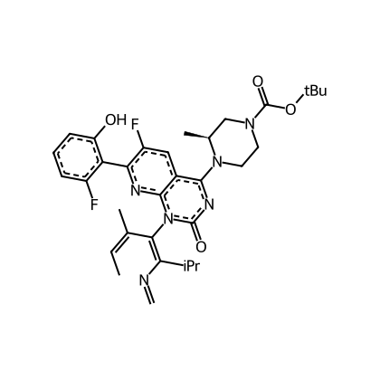 C=N/C(=C(\C(C)=C/C)n1c(=O)nc(N2CCN(C(=O)OC(C)(C)C)C[C@@H]2C)c2cc(F)c(-c3c(O)cccc3F)nc21)C(C)C